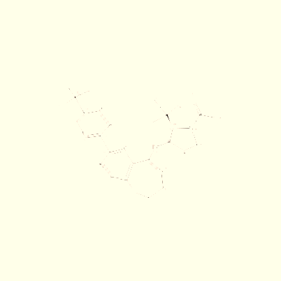 CC(C)(C)[C@@H]1C(NC2=NCCOc3ccc(-c4ccc(C(F)(F)F)cc4)cc32)CCN1C(=O)O